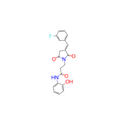 O=C(CCN1C(=O)CC(=Cc2cccc(F)c2)C1=O)Nc1ccccc1O